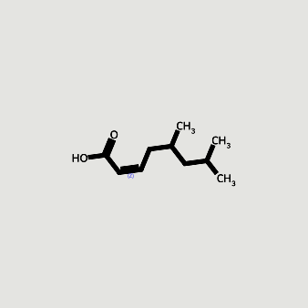 CC(C)CC(C)C/C=C\C(=O)O